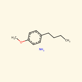 CCCCc1ccc(OC)cc1.N